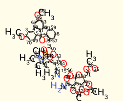 COc1ccc(C(OC[C@H](COCCOCCO[C@@H]2O[C@H](COC(C)=O)[C@H](OC(C)=O)[C@H](OC(C)=O)[C@H]2CC(N)=O)OP(OCCC#N)N(C(C)C)C(C)C)(c2ccccc2)c2ccc(OC)cc2)cc1